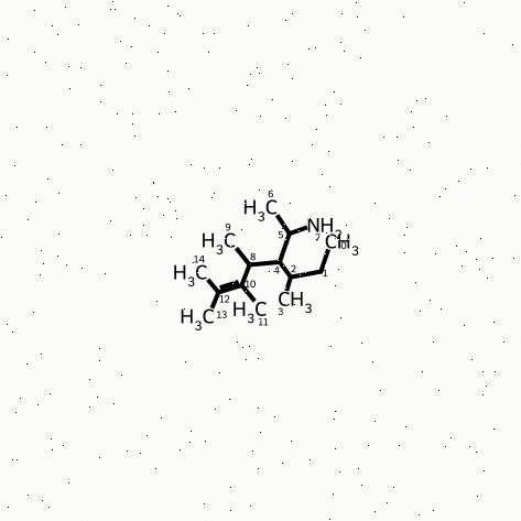 CCC(C)C(C(C)N)C(C)C(C)=C(C)C